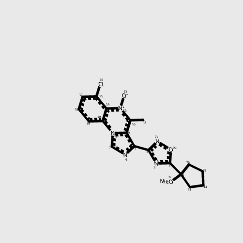 COC1(c2nc(-c3ncn4c3c(C)[n+]([O-])c3c(Cl)cccc34)no2)CCCC1